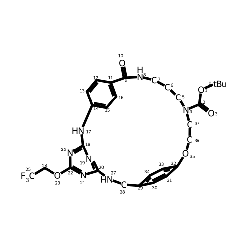 CC(C)(C)OC(=O)N1CCCNC(=O)c2ccc(cc2)Nc2nc(nc(OCC(F)(F)F)n2)NCc2ccc(cc2)OCC1